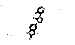 Cc1ccncc1N1CCN(c2ccc3c(c2)CC(=O)N3)C1=O